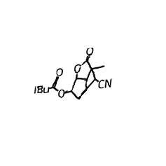 CCC(C)C(=O)OC1C2CC3C1OC(=O)C3(C)C2C#N